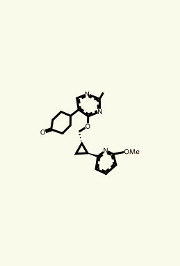 COc1cccc([C@H]2C[C@@H]2COc2nc(C)ncc2C2CCC(=O)CC2)n1